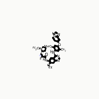 CCOc1cc2ncnc(Nc3cc(C)c(Oc4ccn5ncnc5c4)cc3OC)c2cc1NC(=O)/C(F)=C\[C@H]1CCCN1C